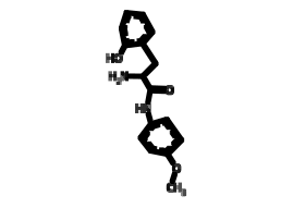 COc1ccc(NC(=O)C(N)Cc2ccccc2O)cc1